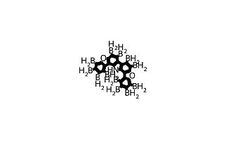 Bc1c(B)c(B)c2c(oc3c(B)c(B)c4c([nH]c5c4c(B)c(B)c4oc6c(B)c(B)c(B)c(B)c6c45)c32)c1B